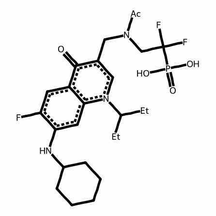 CCC(CC)n1cc(CN(CC(F)(F)P(=O)(O)O)C(C)=O)c(=O)c2cc(F)c(NC3CCCCC3)cc21